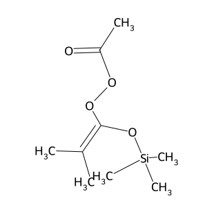 CC(=O)OOC(O[Si](C)(C)C)=C(C)C